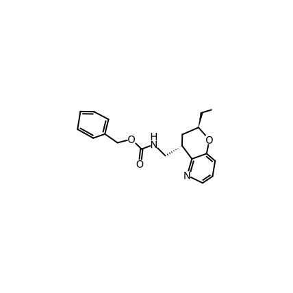 CC[C@@H]1C[C@@H](CNC(=O)OCc2ccccc2)c2ncccc2O1